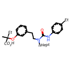 CCCCCCCN(CCc1cccc(O[C@](C)(CC)C(=O)O)c1)C(=O)Nc1ccc(CC)cc1